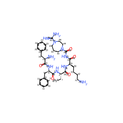 CC(C)C[C@H](NC(=O)[C@@H](Cc1ccccc1)NC(=O)[C@H](N)Cc1ccccc1)C(=O)N[C@H](CCCCN)C(=O)NC(=O)N1CCCN(C(=N)N)CC1